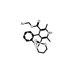 CC(=O)COC(=O)C1=C(C)NC(C)=C(P2(=O)OCCCO2)C1c1ccccc1C(F)(F)F